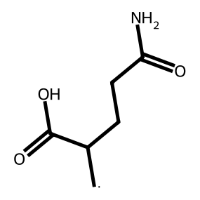 [CH2]C(CCC(N)=O)C(=O)O